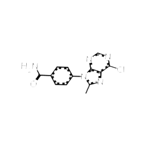 Cc1nc2c(Cl)ncnc2n1-c1ccc(C(N)=O)cc1